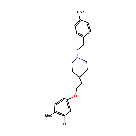 COc1ccc(CCN2CCC(CCOc3ccc(OC)c(Cl)c3)CC2)cc1